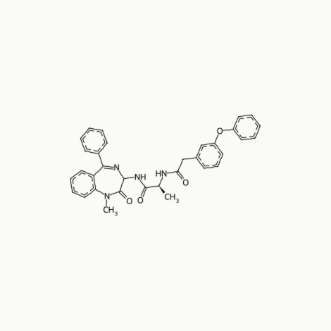 C[C@H](NC(=O)Cc1cccc(Oc2ccccc2)c1)C(=O)NC1N=C(c2ccccc2)c2ccccc2N(C)C1=O